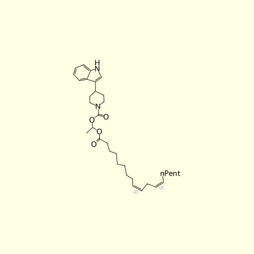 CCCCC/C=C\C/C=C\CCCCCCCC(=O)OC(C)OC(=O)N1CCC(c2c[nH]c3ccccc23)CC1